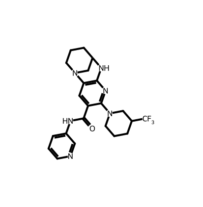 O=C(Nc1cccnc1)c1cc2c(nc1N1CCCC(C(F)(F)F)C1)NC1CCCN2C1